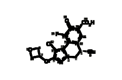 CC(C)(C)[C@@H]1Cn2nc(OC3COC3)c(Cl)c2-c2c(F)c(=O)c(C(=O)O)cn21